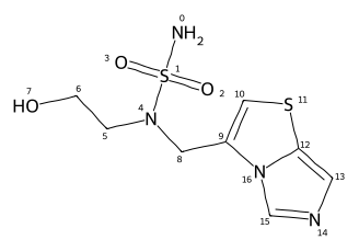 NS(=O)(=O)N(CCO)Cc1csc2cncn12